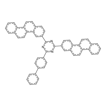 c1ccc(-c2ccc(-c3nc(-c4ccc5c(ccc6c7ccccc7ccc56)c4)nc(-c4ccc5ccc6c7ccccc7ccc6c5c4)n3)cc2)cc1